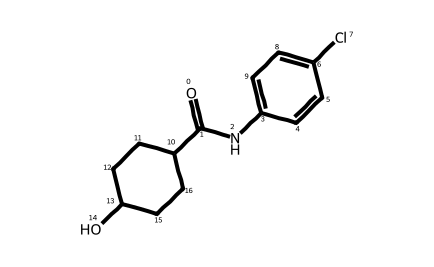 O=C(Nc1ccc(Cl)cc1)C1CCC(O)CC1